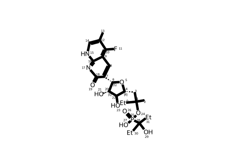 CCC(C)(C[C@H]1O[C@@H](c2cc3c(F)c(C)c[nH]c-3nc2=O)[C@@H](O)C1O)OP(=O)(O)C(O)(CC)CC